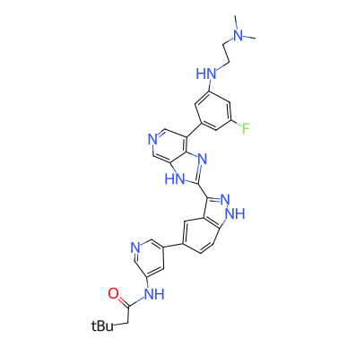 CN(C)CCNc1cc(F)cc(-c2cncc3[nH]c(-c4n[nH]c5ccc(-c6cncc(NC(=O)CC(C)(C)C)c6)cc45)nc23)c1